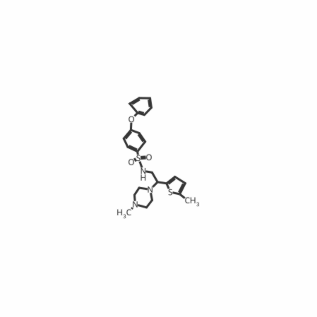 Cc1ccc(C(CNS(=O)(=O)c2ccc(Oc3ccccc3)cc2)N2CCN(C)CC2)s1